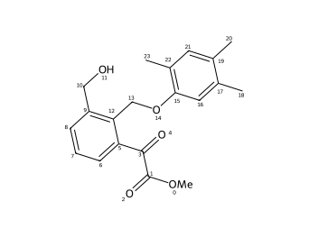 COC(=O)C(=O)c1cccc(CO)c1COc1cc(C)c(C)cc1C